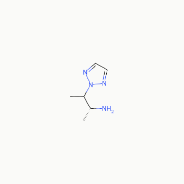 CC([C@@H](C)N)n1nccn1